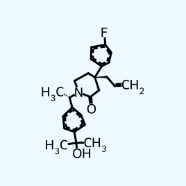 C=CC[C@]1(c2ccc(F)cc2)CCN([C@@H](C)c2ccc(C(C)(C)O)cc2)C(=O)C1